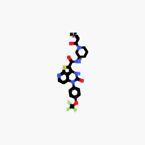 C=CC(=O)N1CCC[C@@H](NC(=O)c2sc3nccc4c3c2NC(=O)N4c2ccc(OC(F)(F)F)cc2)C1